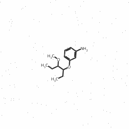 CCC(OC)C(CC)Oc1cccc(N)c1